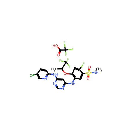 CNS(=O)(=O)c1cc(Nc2cc(Nc3ccc(Cl)cn3)ncn2)c(OC(C)C(F)(F)F)cc1F.O=C(O)C(F)(F)F